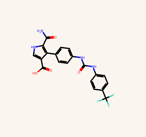 NC(=O)c1[nH]cc(C(=O)O)c1-c1ccc(NC(=O)Nc2ccc(C(F)(F)F)cc2)cc1